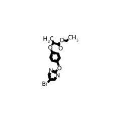 CCOC(=O)C(C)Oc1ccc(Oc2ncc(Br)cn2)cc1